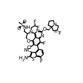 CS(=O)(=O)NCC1COc2c(Cl)c(-c3ccc(F)c4sc(N)c(C#N)c34)c(F)c3nc(OC[C@@]45CCCN4C[C@H](F)C5)nc(c23)N1CC(F)F